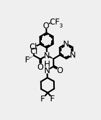 O=C(NC1CCC(F)(F)CC1)[C@H](c1cncnc1)N(C(=O)[C@H](F)Cl)c1ccc(OC(F)(F)F)cc1Cl